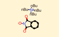 CCCC[N+](CCCC)(CCCC)CCCC.[O]N1C(=O)c2ccccc2C1=O